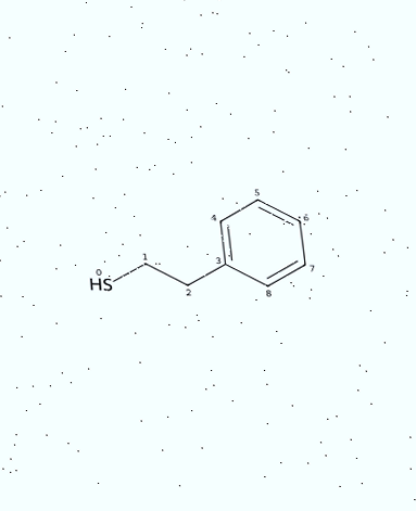 SCCc1cc[c]cc1